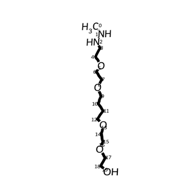 CNNCCOCCOCCCCOCCOCCO